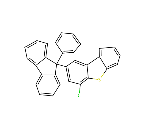 Clc1cc(C2(c3ccccc3)c3ccccc3-c3ccccc32)cc2c1sc1ccccc12